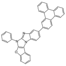 c1ccc(-n2c3oc4ccccc4c3n3c4ccc(-c5ccc6c7ccccc7c7ccccc7c6c5)cc4nc23)cc1